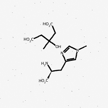 CC(O)(CC(=O)O)CC(=O)O.Cn1cnc(C[C@H](N)C(=O)O)c1